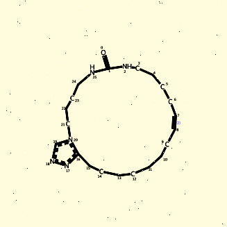 O=C1NCCCC/C=C\CCCCCCCc2nncn2CCCCN1